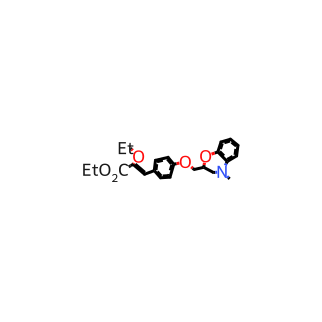 CCOC(=O)/C(=C/c1ccc(OCC2CN(C)c3ccccc3O2)cc1)OCC